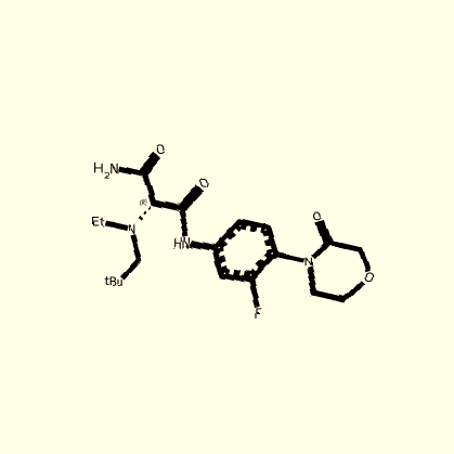 CCN(CC(C)(C)C)[C@H](C(N)=O)C(=O)Nc1ccc(N2CCOCC2=O)c(F)c1